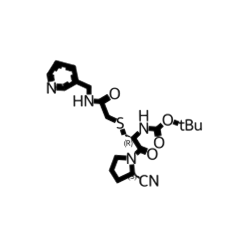 CC(C)(C)OC(=O)N[C@@H](CSCC(=O)NCc1cccnc1)C(=O)N1CCC[C@H]1C#N